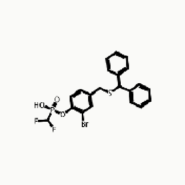 O=P(O)(Oc1ccc(CSC(c2ccccc2)c2ccccc2)cc1Br)C(F)F